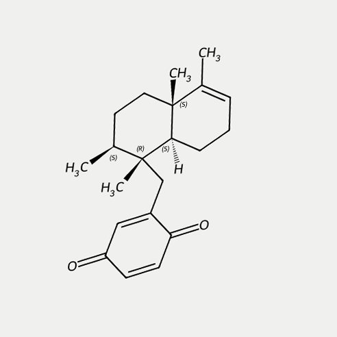 CC1=CCC[C@H]2[C@](C)(CC3=CC(=O)C=CC3=O)[C@@H](C)CC[C@]12C